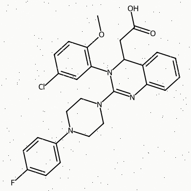 COc1ccc(Cl)cc1N1C(N2CCN(c3ccc(F)cc3)CC2)=Nc2ccccc2C1CC(=O)O